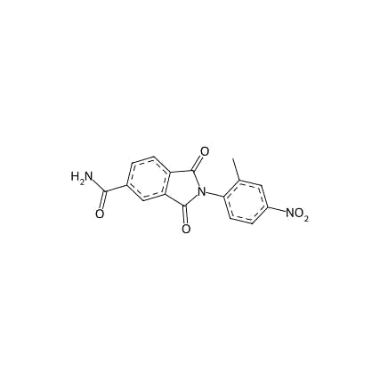 Cc1cc([N+](=O)[O-])ccc1N1C(=O)c2ccc(C(N)=O)cc2C1=O